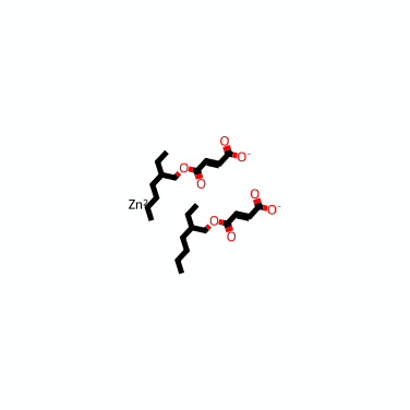 CCCCC(CC)COC(=O)C=CC(=O)[O-].CCCCC(CC)COC(=O)C=CC(=O)[O-].[Zn+2]